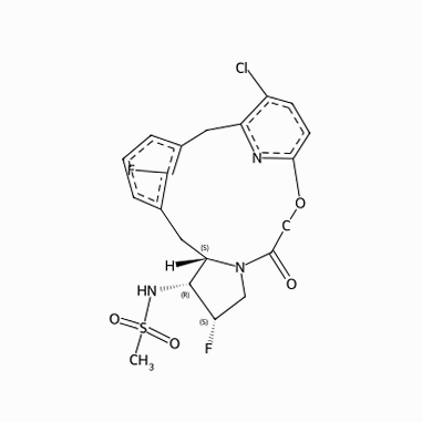 CS(=O)(=O)N[C@H]1[C@@H](F)CN2C(=O)COc3ccc(Cl)c(n3)Cc3cccc(c3F)C[C@@H]12